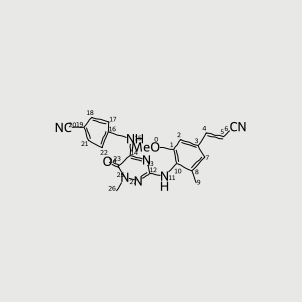 COc1cc(/C=C/C#N)cc(C)c1Nc1nc(Nc2ccc(C#N)cc2)c(=O)n(C)n1